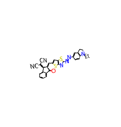 CCN1CCc2cc(/N=N/c3nc4sc(/C=C5\C(=O)c6ccccc6C5=C(C#N)C#N)cc4s3)ccc21